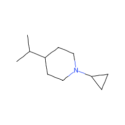 CC(C)C1CCN(C2CC2)CC1